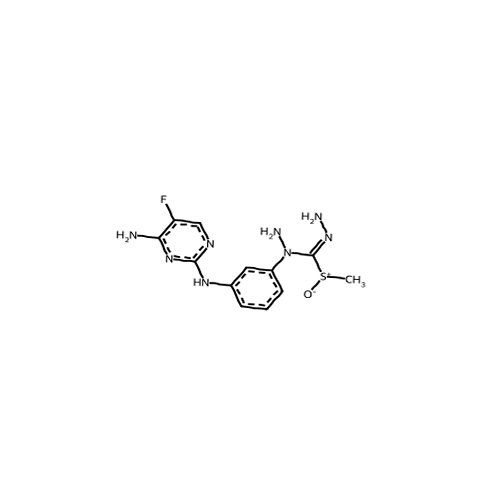 C[S+]([O-])/C(=N/N)N(N)c1cccc(Nc2ncc(F)c(N)n2)c1